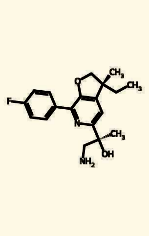 CC[C@@]1(C)COc2c1cc([C@@](C)(O)CN)nc2-c1ccc(F)cc1